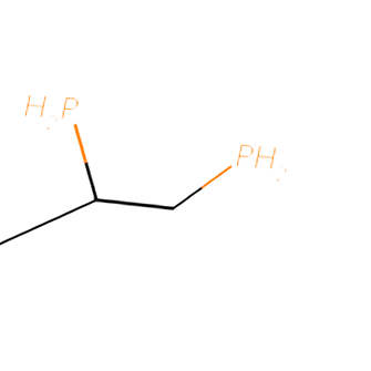 CC(P)CP